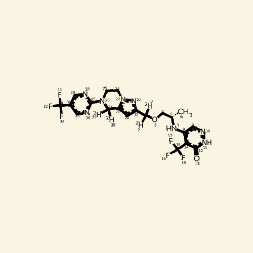 [2H]C([2H])(OC[C@H](C)Nc1cn[nH]c(=O)c1C(F)(F)F)c1cc2n(n1)CCN(c1ncc(C(F)(F)F)cn1)C2([2H])[2H]